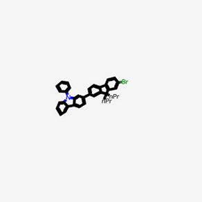 CCCC1(CCC)c2cc(Br)ccc2-c2ccc(-c3ccc4c5ccccc5n(-c5ccccc5)c4c3)cc21